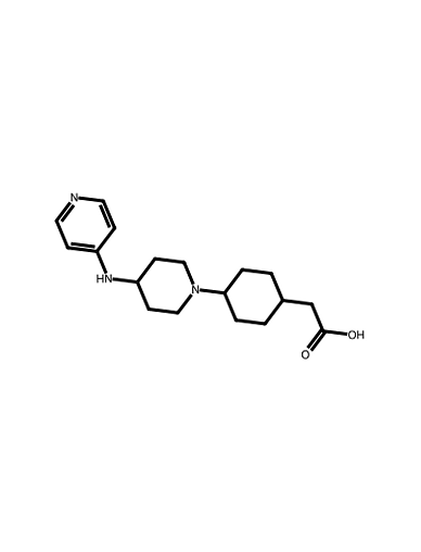 O=C(O)CC1CCC(N2CCC(Nc3ccncc3)CC2)CC1